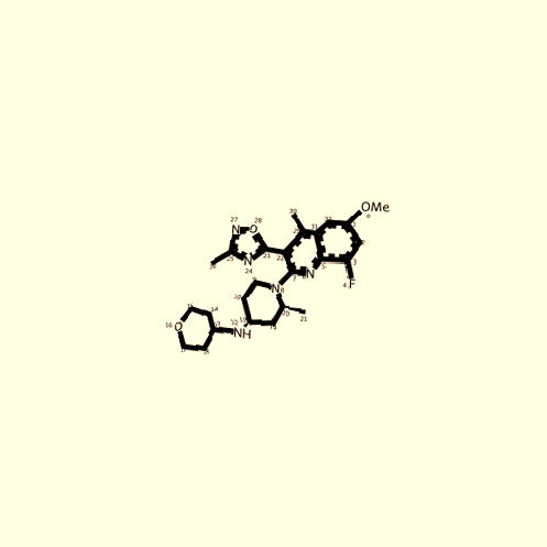 COc1cc(F)c2nc(N3CC[C@@H](NC4CCOCC4)C[C@@H]3C)c(-c3nc(C)no3)c(C)c2c1